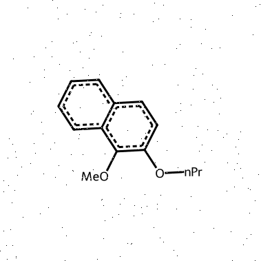 [CH2]Oc1c(OCCC)ccc2ccccc12